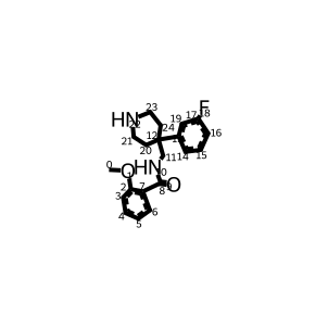 COc1ccccc1C(=O)NCC1(c2cccc(F)c2)CCNCC1